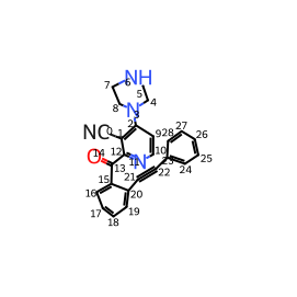 N#Cc1c(N2CCNCC2)ccnc1C(=O)c1ccccc1C#Cc1ccccc1